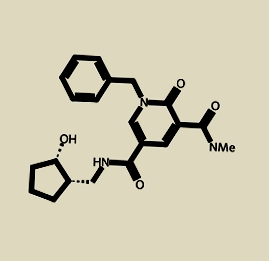 CNC(=O)c1cc(C(=O)NC[C@@H]2CCC[C@@H]2O)cn(Cc2ccccc2)c1=O